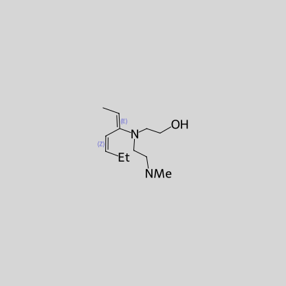 C/C=C(\C=C/CC)N(CCO)CCNC